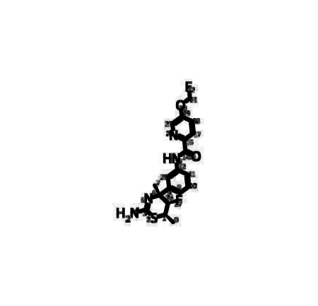 C[C@H]1SC(N)=N[C@](C)(c2cccc(NC(=O)c3ccc(OCF)cn3)c2)[C@H]1F